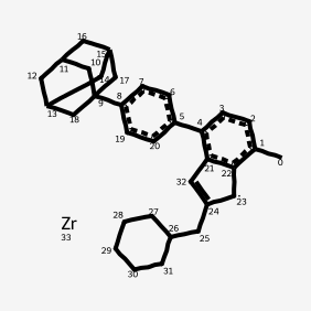 Cc1ccc(-c2ccc(C34CC5CC(CC(C5)C3)C4)cc2)c2c1[CH]C(CC1CCCCC1)=C2.[Zr]